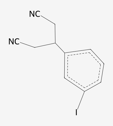 N#CCC(CC#N)c1cccc(I)c1